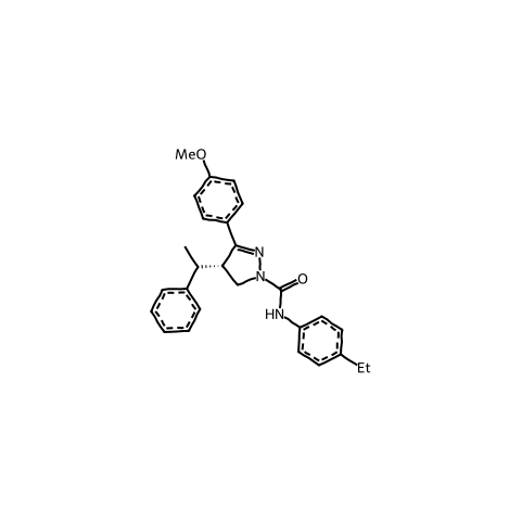 CCc1ccc(NC(=O)N2C[C@H](C(C)c3ccccc3)C(c3ccc(OC)cc3)=N2)cc1